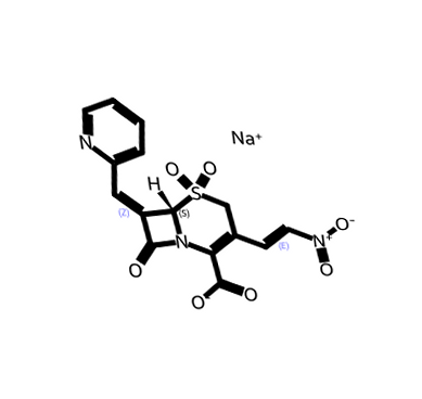 O=C([O-])C1=C(/C=C/[N+](=O)[O-])CS(=O)(=O)[C@H]2/C(=C\c3ccccn3)C(=O)N12.[Na+]